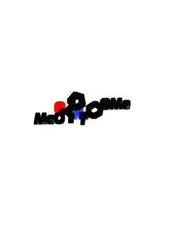 COC(=O)c1c(C)n([C@H](C)C2CCC(OC)CC2)c2ccccc12